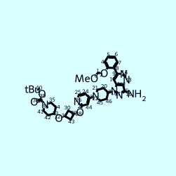 COCOc1ccccc1-c1cc2c(nn1)c(N)nn2C1CCN(c2ccnc(O[C@H]3C[C@H](OC4CCN(C(=O)OC(C)(C)C)CC4)C3)c2)CC1